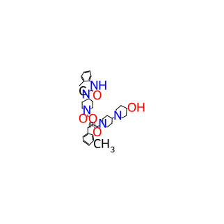 Cc1cccc(C[C@@H](OC(=O)N2CCC(N3CCc4ccccc4NC3=O)CC2)C(=O)N2CCC(N3CCC(O)CC3)CC2)c1